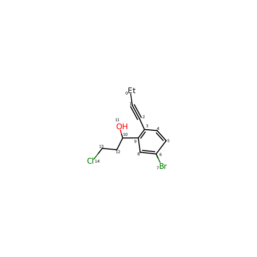 CCC#Cc1ccc(Br)cc1C(O)CCCl